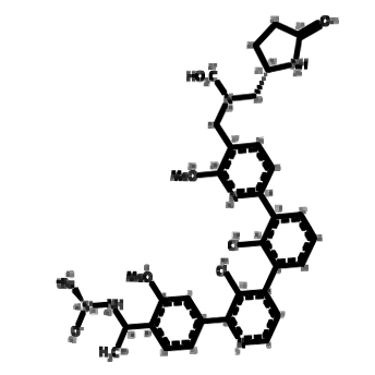 COc1cc(-c2nccc(-c3cccc(-c4ccc(CN(C[C@@H]5CCC(=O)N5)C(=O)O)c(OC)n4)c3Cl)c2Cl)ccc1C(C)N[S@@+]([O-])C(C)(C)C